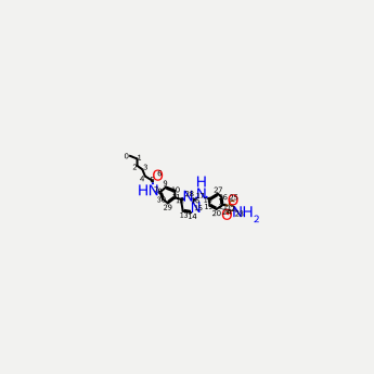 CCCCCC(=O)Nc1ccc(-c2ccnc(Nc3ccc(S(N)(=O)=O)cc3)n2)cc1